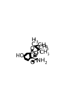 CC1(C)OB(c2cc(O)ccc2S(N)(=O)=O)OC1(C)C